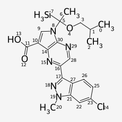 CC(C)COC(C)([SiH3])n1cc(C(=O)O)c2nc(-c3nn(C)c4cc(Cl)ccc34)cnc21